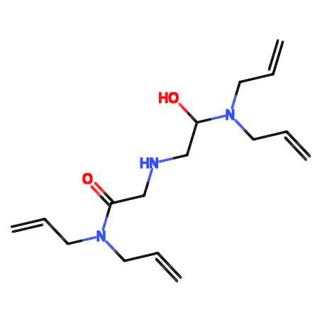 C=CCN(CC=C)C(=O)CNCC(O)N(CC=C)CC=C